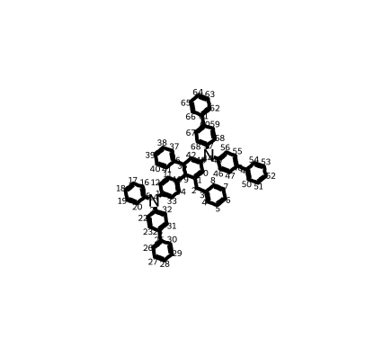 C1=C(Cc2ccccc2)C(c2ccc(N(c3ccccc3)c3ccc(-c4ccccc4)cc3)cc2)C(c2ccccc2)C=C1N(c1ccc(-c2ccccc2)cc1)c1ccc(-c2ccccc2)cc1